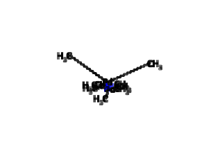 CCCCC1=C(c2cccc(C[Si](C)(C)C)c2)[N+](=[N-])C(c2cccc(C[Si](C)(C)C)c2)=C1.CCCCCCCCCCCCCCCCCCCCCCCC[CH2][Pd][CH2]CCCCCCCCCCCCCCCCCCCCCCCC